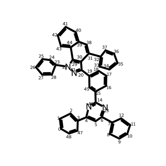 c1ccc(-c2cc(-c3ccccc3)nc(-c3cccc(-c4nn(-c5ccccc5)c5c4c(-c4ccccc4)cc4ccccc45)c3)n2)cc1